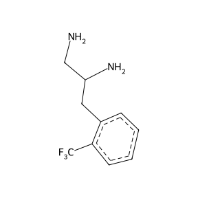 NCC(N)Cc1ccccc1C(F)(F)F